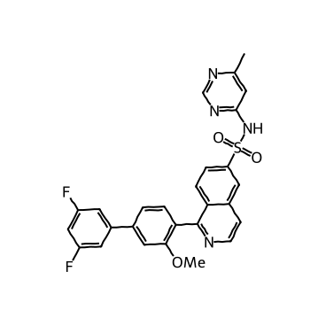 COc1cc(-c2cc(F)cc(F)c2)ccc1-c1nccc2cc(S(=O)(=O)Nc3cc(C)ncn3)ccc12